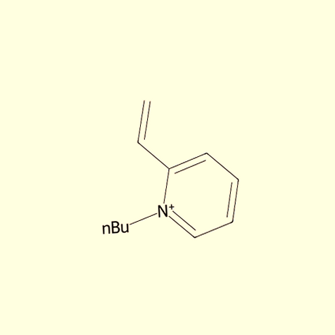 C=Cc1cccc[n+]1CCCC